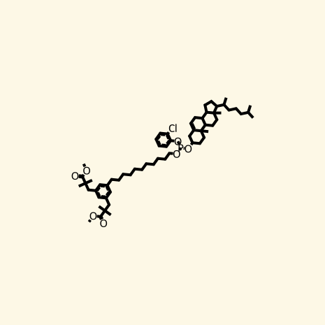 COC(=O)C(C)(C)Cc1cc(CCCCCCCCCCCOP(Oc2ccccc2Cl)OC2CCC3(C)C(=CCC4C3CCC3(C)C(C(C)CCCC(C)C)CCC43)C2)cc(CC(C)(C)C(=O)OC)c1